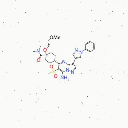 COCCOC1(C(=O)N(C)C)CCC(c2nc3c(-c4cnn(-c5ccccc5)c4)cnn3c(N)c2S(C)(=O)=O)CC1